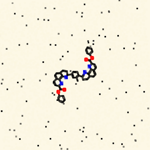 Cc1cc(-c2ccc3ccc4ccc(C(=O)Oc5ccccc5)nc4c3n2)ccc1-c1ccc2ccc3ccc(C(=O)Oc4ccccc4)nc3c2n1